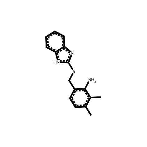 Cc1ccc(CSc2nc3ccccc3[nH]2)c(N)c1C